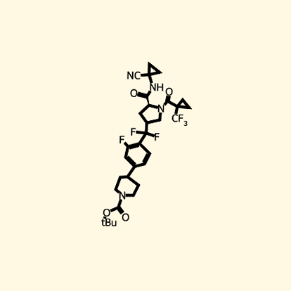 CC(C)(C)OC(=O)N1CCC(c2ccc(C(F)(F)C3C[C@@H](C(=O)NC4(C#N)CC4)N(C(=O)C4(C(F)(F)F)CC4)C3)c(F)c2)CC1